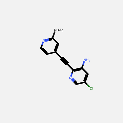 CC(=O)Nc1cc(C#Cc2ncc(Cl)cc2N)ccn1